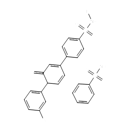 NS(=O)(=O)c1ccccc1.O=S(=O)(NF)c1ccc(C2=CC(=S)C(c3cccc(Br)c3)C=C2)cc1